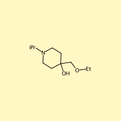 CCOCC1(O)CCN(C(C)C)CC1